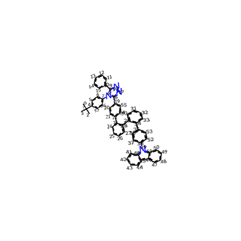 CC(C)(C)c1ccc(-n2c(-c3ccccc3)nnc2-c2ccc(-c3ccccc3-c3ccccc3-c3ccc(-n4c5ccccc5c5ccccc54)cc3)cc2)cc1